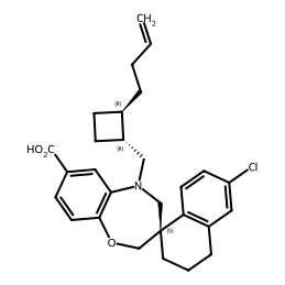 C=CCC[C@@H]1CC[C@H]1CN1C[C@@]2(CCCc3cc(Cl)ccc32)COc2ccc(C(=O)O)cc21